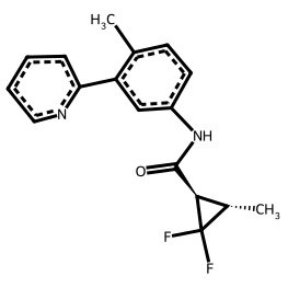 Cc1ccc(NC(=O)[C@H]2[C@H](C)C2(F)F)cc1-c1ccccn1